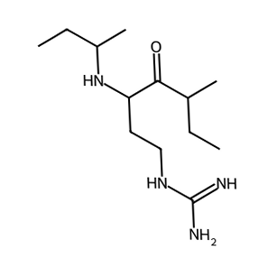 CCC(C)NC(CCNC(=N)N)C(=O)C(C)CC